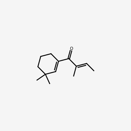 C/C=C(\C)C(=O)C1=CC(C)(C)CCC1